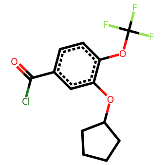 O=C(Cl)c1ccc(OC(F)(F)F)c(OC2CCCC2)c1